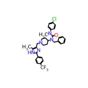 Cc1[nH]c(-c2ccc(C(F)(F)F)cc2)nc1CN1CCC(N(Cc2ccccc2)C(=O)N(C)c2ccc(Cl)cc2)CC1